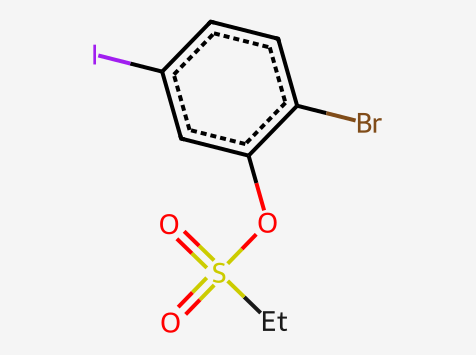 CCS(=O)(=O)Oc1cc(I)ccc1Br